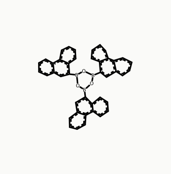 c1ccc2c(c1)cc(B1OB(c3cc4ccccc4c4ccccc34)OB(c3cc4ccccc4c4ccccc34)O1)c1ccccc12